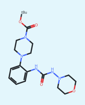 CC(C)(C)OC(=O)N1CCN(c2ccccc2NC(=O)NN2CCOCC2)CC1